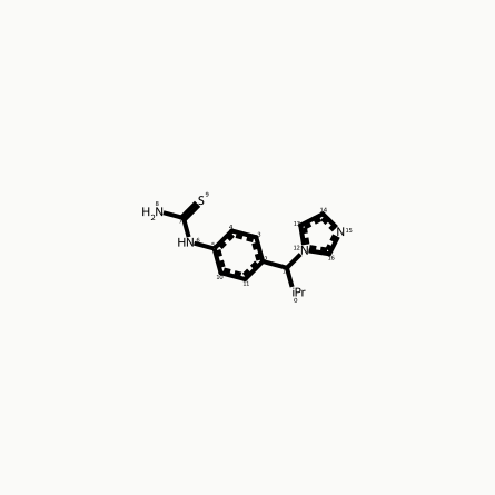 CC(C)C(c1ccc(NC(N)=S)cc1)n1ccnc1